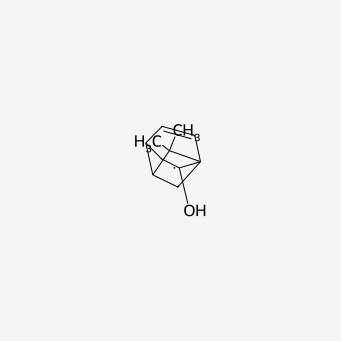 CC1(C)C2CC13C=CC2C[C]3O